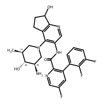 C[C@H]1CN(c2c(NC(=O)c3ncc(F)cc3-c3cccc(F)c3F)cnc3c2CCC3O)C[C@@H](N)[C@@H]1O